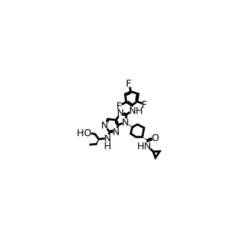 CC[C@@H](CO)Nc1ncc2nc(Nc3c(F)cc(F)cc3F)n([C@H]3CC[C@@H](C(=O)NC4CC4)CC3)c2n1